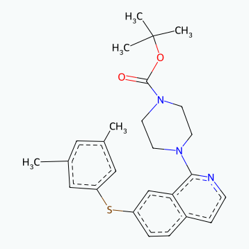 Cc1cc(C)cc(Sc2ccc3ccnc(N4CCN(C(=O)OC(C)(C)C)CC4)c3c2)c1